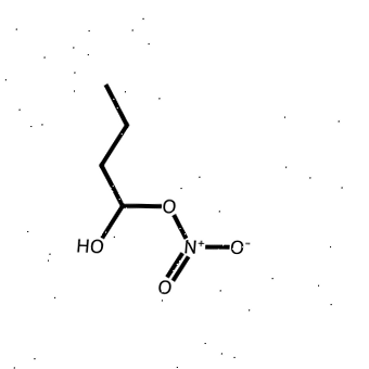 CCCC(O)O[N+](=O)[O-]